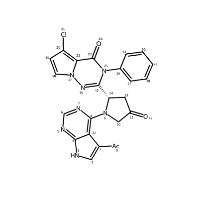 CC(=O)c1c[nH]c2ncnc(N3CC(=O)C[C@H]3c3nn4ccc(Cl)c4c(=O)n3-c3ccccc3)c12